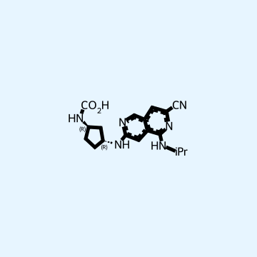 CC(C)Nc1nc(C#N)cc2cnc(N[C@@H]3CC[C@@H](NC(=O)O)C3)cc12